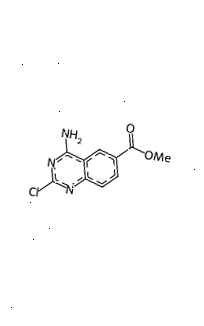 COC(=O)c1ccc2nc(Cl)nc(N)c2c1